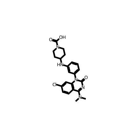 CN(C)c1nc(=O)n(-c2cccc(NC3CCN(C(=O)O)CC3)c2)c2cc(Cl)ccc12